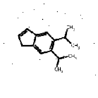 CC(C)c1cc2c(cc1C(C)C)CC=C2